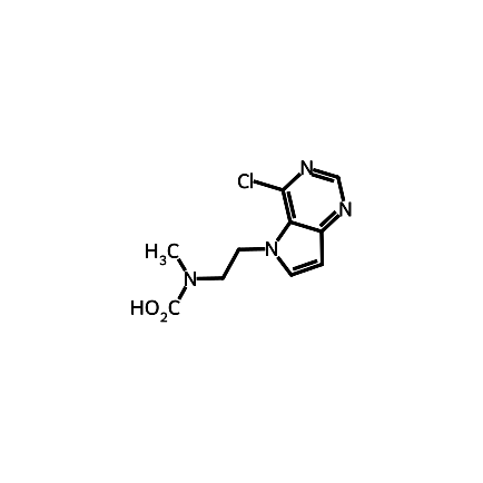 CN(CCn1ccc2ncnc(Cl)c21)C(=O)O